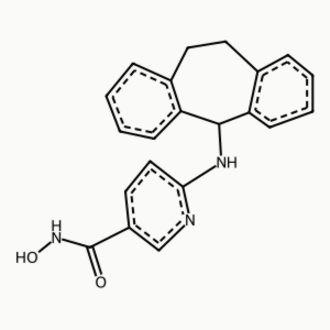 O=C(NO)c1ccc(NC2c3ccccc3CCc3ccccc32)nc1